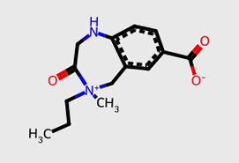 CCC[N+]1(C)Cc2cc(C(=O)[O-])ccc2NCC1=O